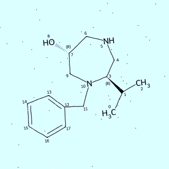 CC(C)[C@@H]1CNC[C@@H](O)CN1Cc1ccccc1